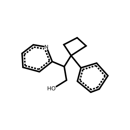 OCC(c1ccccn1)C1(c2ccccc2)CCC1